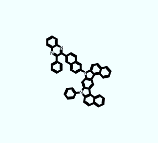 c1ccc(-c2nc3ccccc3nc2-c2ccc3cc(-n4c5cc6c(cc5c5c7ccccc7ccc54)c4c5ccccc5ccc4n6-c4ccccc4)ccc3c2)cc1